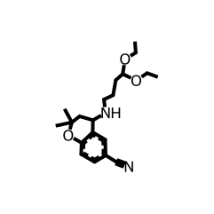 CCOC(CCCNC1CC(C)(C)Oc2ccc(C#N)cc21)OCC